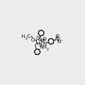 CCOC(=O)[C@H](Cc1ccccc1)N(N)P(=O)(Oc1ccccc1)Oc1ccc([N+](=O)[O-])cc1